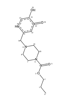 CCCOC(=O)N1CCN(Cc2cc(=O)c(O)c[nH]2)CC1